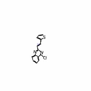 Clc1nc(/C=C/c2cccs2)nc2ccccc12